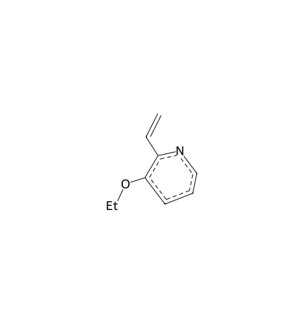 C=Cc1ncccc1OCC